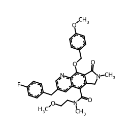 COCCN(C)C(=O)c1c2c(c(OCc3ccc(OC)cc3)c3ncc(Cc4ccc(F)cc4)cc13)C(=O)N(C)C2